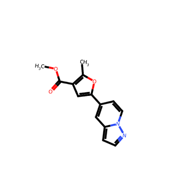 COC(=O)c1cc(-c2ccn3nccc3c2)oc1C